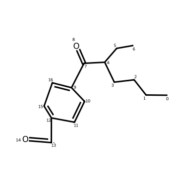 CCCCC(CC)C(=O)c1ccc([C]=O)cc1